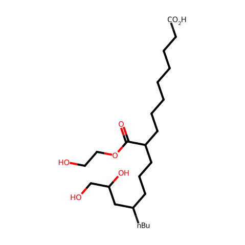 CCCCC(CCCC(CCCCCCCC(=O)O)C(=O)OCCO)CC(O)CO